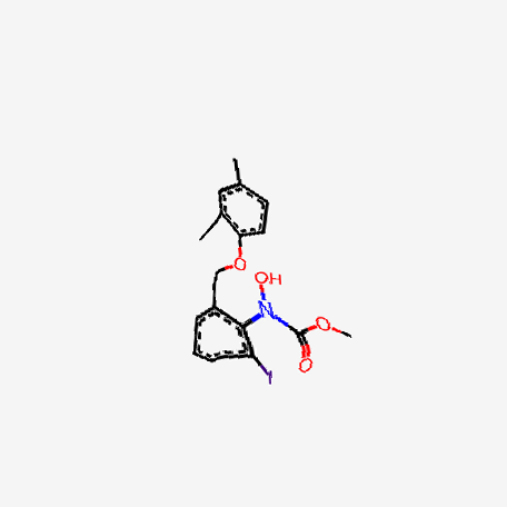 COC(=O)N(O)c1c(I)cccc1COc1ccc(C)cc1C